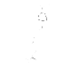 CC(C)C(=O)N1CCC(COCCc2ccc(C(C)C)cc2)CC1